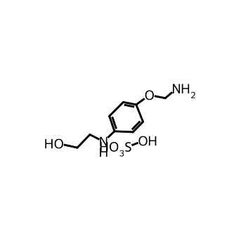 NCOc1ccc(NCCO)cc1.O=S(=O)(O)O